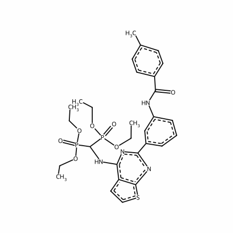 CCOP(=O)(OCC)C(Nc1nc(-c2cccc(NC(=O)c3ccc(C)cc3)c2)nc2sccc12)P(=O)(OCC)OCC